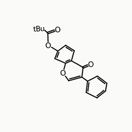 CC(C)(C)C(=O)Oc1ccc2c(=O)c(-c3ccccc3)coc2c1